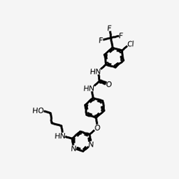 O=C(Nc1ccc(Oc2cc(NCCCO)ncn2)cc1)Nc1ccc(Cl)c(C(F)(F)F)c1